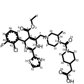 CCOC(=O)C1=C(CN2CCN(C(=O)N3CCC(CC(=O)O)CC3)C(C)C2)NC(c2nccs2)=NC1c1cccc(F)c1Cl